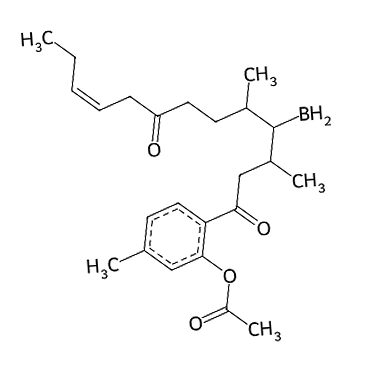 BC(C(C)CCC(=O)C/C=C\CC)C(C)CC(=O)c1ccc(C)cc1OC(C)=O